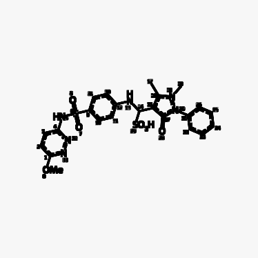 COc1ccc(NS(=O)(=O)c2ccc(NC(c3c(C)n(C)n(-c4ccccc4)c3=O)S(=O)(=O)O)cc2)nn1